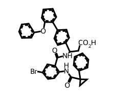 O=C(O)CC(NC(=O)c1cc(Br)ccc1NC(=O)C1(c2ccccc2)CC1)c1ccc(-c2ccccc2Oc2ccccc2)cc1